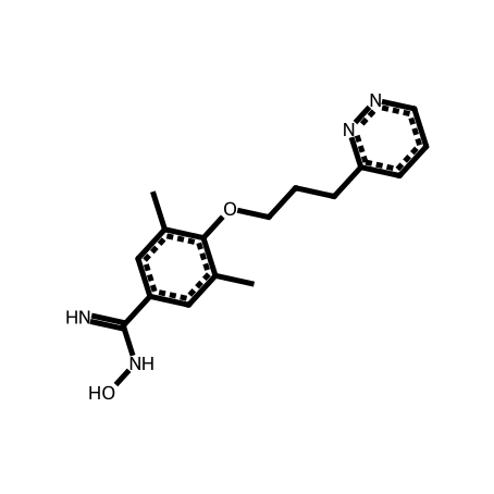 Cc1cc(C(=N)NO)cc(C)c1OCCCc1cccnn1